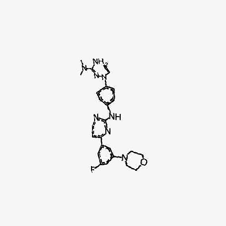 C=CN(/N=C(\N)N(C)C)c1ccc(Nc2nccc(-c3cc(F)cc(N4CCOCC4)c3)n2)cc1